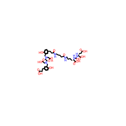 O=C(O)CCc1ccc(O)c(CN(CCN(CC(=O)O)Cc2cc(CCC(=O)NCCCCC(=O)NCCCC[C@H](NC(=O)N[C@@H](CCC(=O)O)C(=O)O)C(=O)O)ccc2O)CC(=O)O)c1